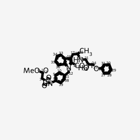 COC(=O)CS(=O)(=O)Nc1ccc(Cn2c(C(=O)O)c(CC(C)NCC(O)COc3ccccc3)c3ccccc32)cc1